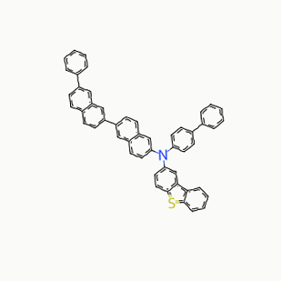 c1ccc(-c2ccc(N(c3ccc4cc(-c5ccc6ccc(-c7ccccc7)cc6c5)ccc4c3)c3ccc4sc5ccccc5c4c3)cc2)cc1